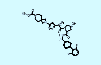 CC(C)[C@@H](C(=O)N1C[C@H](O)C[C@H]1C(=O)N[C@@H](C)c1ccc(-c2c(F)cccc2F)cc1)c1cc(N2CC3(CCN(C(=O)OC(C)(C)C)CC3)C2)no1